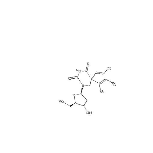 CCC=CC1(C(=CCC)CC)CN([C@H]2C[C@H](O)[C@@H](CO)O2)C(=O)NC1=O